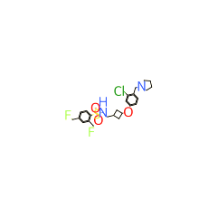 O=S(=O)(NCC1CC(Oc2ccc(CN3CCCC3)c(Cl)c2)C1)c1ccc(CF)cc1CF